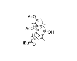 C=C1[C@@H](OC(C)=O)CC[C@@]2(C)C[C@H](O)C3=C(C)C[C@H](OC(=O)[C@@H](C)CC)[C@@H]([C@@H](OC(C)=O)[C@H]12)C3(C)C